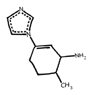 CC1CCC(n2ccnc2)=CC1N